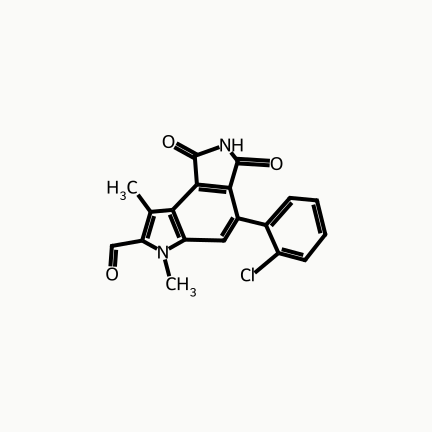 Cc1c(C=O)n(C)c2cc(-c3ccccc3Cl)c3c(c12)C(=O)NC3=O